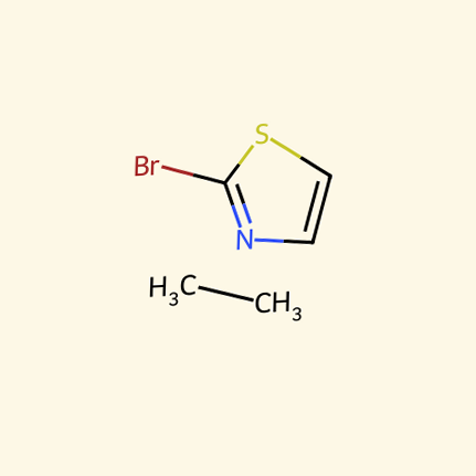 Brc1nccs1.CC